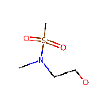 CN(CC[O])S(C)(=O)=O